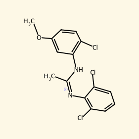 COc1ccc(Cl)c(N/C(C)=N\c2c(Cl)cccc2Cl)c1